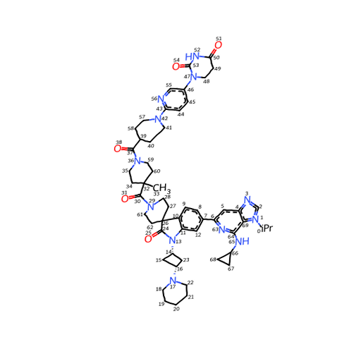 CC(C)n1cnc2cc(-c3ccc4c(c3)N([C@H]3C[C@@H](N5CCCCC5)C3)C(=O)C43CCN(C(=O)C4(C)CCN(C(=O)C5CCN(c6ccc(N7CCC(=O)NC7=O)cn6)CC5)CC4)CC3)nc(NC3CC3)c21